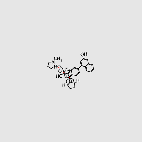 CN1CCC[C@H]1COc1nc(N2[C@@H]3CC[C@H]2CN(C(=O)C(O)CO)C3)c2ccc(-c3cc(O)cc4ccccc34)cc2n1